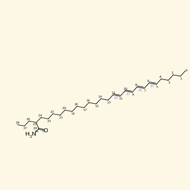 CCCCC/C=C/C=C/C=C/C=C/CCCCCCCCCCCCC(CCC)C(N)=O